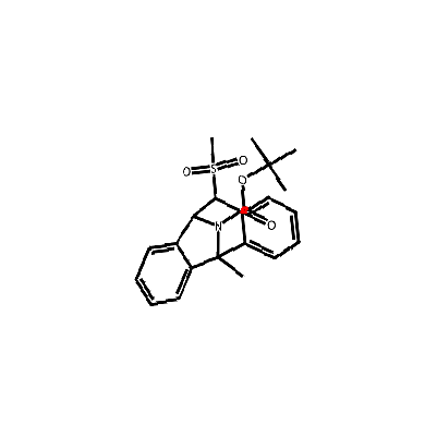 CC(C)(C)OC(=O)N1C2c3ccccc3C1(C)c1ccccc1C2S(C)(=O)=O